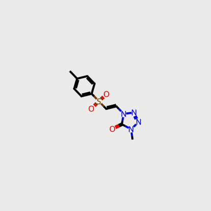 Cc1ccc(S(=O)(=O)C=Cn2nnn(C)c2=O)cc1